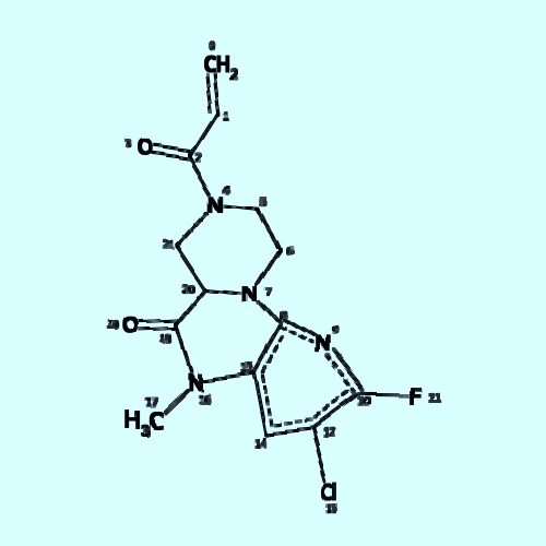 C=CC(=O)N1CCN2c3nc(F)c(Cl)cc3N(C)C(=O)C2C1